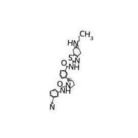 CCCN[C@H]1CCc2nc(NC(=O)c3cccc([C@H]4CCCN4C(=O)Nc4cccc(C#N)c4)c3)sc2C1